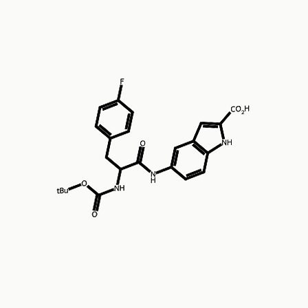 CC(C)(C)OC(=O)NC(Cc1ccc(F)cc1)C(=O)Nc1ccc2[nH]c(C(=O)O)cc2c1